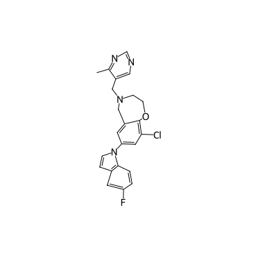 Cc1ncncc1CN1CCOc2c(Cl)cc(-n3ccc4cc(F)ccc43)cc2C1